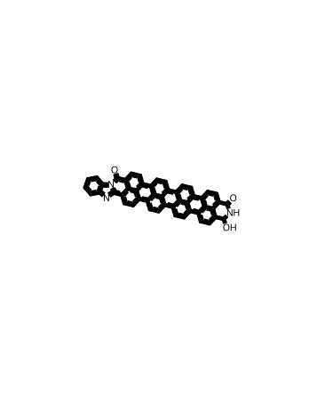 O=C1NC(O)c2ccc3c4ccc5c6ccc7c8ccc9c%10c(ccc(c%11ccc(c%12ccc(c%13ccc1c2c%133)c4c%125)c6c%117)c8%10)c(=O)n1c2ccccc2nc91